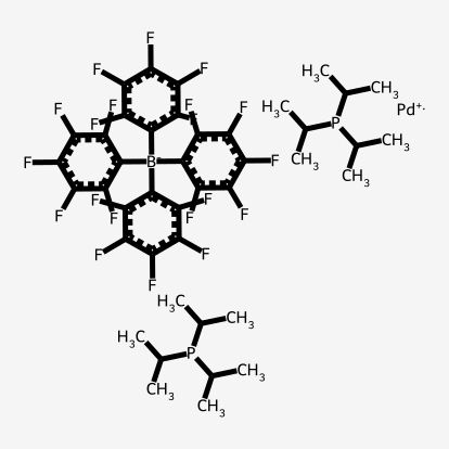 CC(C)P(C(C)C)C(C)C.CC(C)P(C(C)C)C(C)C.Fc1c(F)c(F)c([B-](c2c(F)c(F)c(F)c(F)c2F)(c2c(F)c(F)c(F)c(F)c2F)c2c(F)c(F)c(F)c(F)c2F)c(F)c1F.[Pd+]